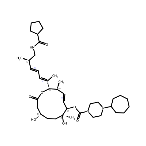 C/C(=C\C=C\[C@@H](C)CNC(=O)C1CCCC1)[C@H]1OC(=O)C[C@@H](O)CC[C@](C)(O)[C@H](OC(=O)N2CCN(C3CCCCCC3)CC2)/C=C/[C@@H]1C